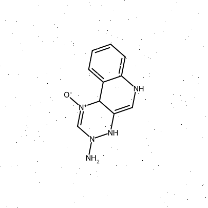 NN1C=[N+]([O-])C2C(=CNc3ccccc32)N1